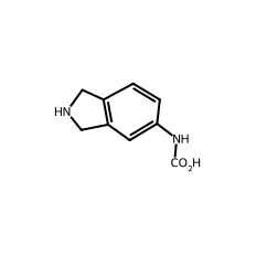 O=C(O)Nc1ccc2c(c1)CNC2